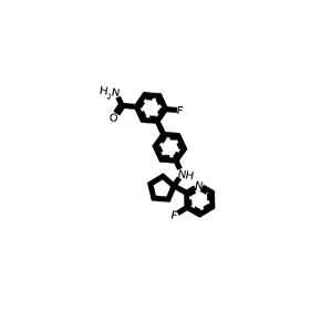 NC(=O)c1ccc(F)c(-c2ccc(NC3(c4ncccc4F)CCCC3)cc2)c1